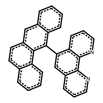 c1ccc2c(-c3cc4cccnc4c4ncccc34)c3c(ccc4ccccc43)cc2c1